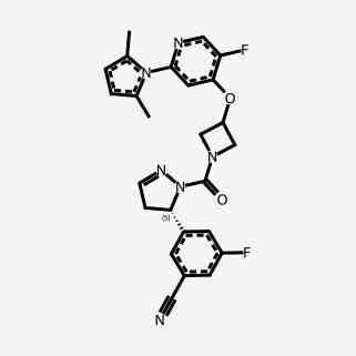 Cc1ccc(C)n1-c1cc(OC2CN(C(=O)N3N=CC[C@H]3c3cc(F)cc(C#N)c3)C2)c(F)cn1